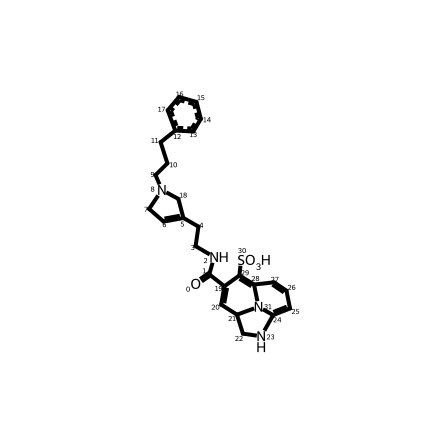 O=C(NCCC1=CCN(CCCc2ccccc2)C1)C1=CC2CNC3=CC=CC(=C1S(=O)(=O)O)N32